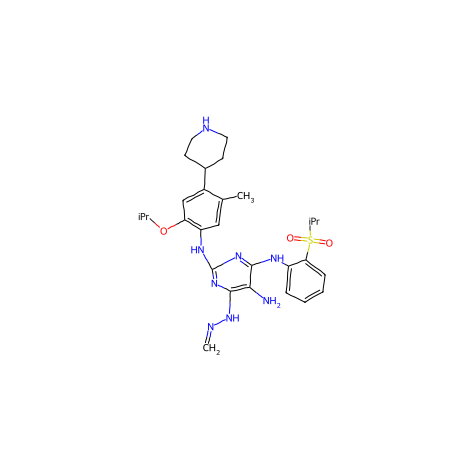 C=NNc1nc(Nc2cc(C)c(C3CCNCC3)cc2OC(C)C)nc(Nc2ccccc2S(=O)(=O)C(C)C)c1N